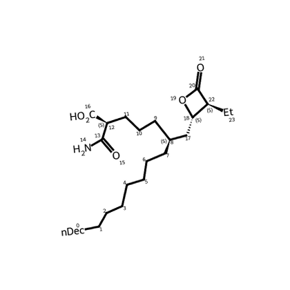 CCCCCCCCCCCCCCCCC[C@@H](CCC[C@@H](C(N)=O)C(=O)O)C[C@@H]1OC(=O)[C@H]1CC